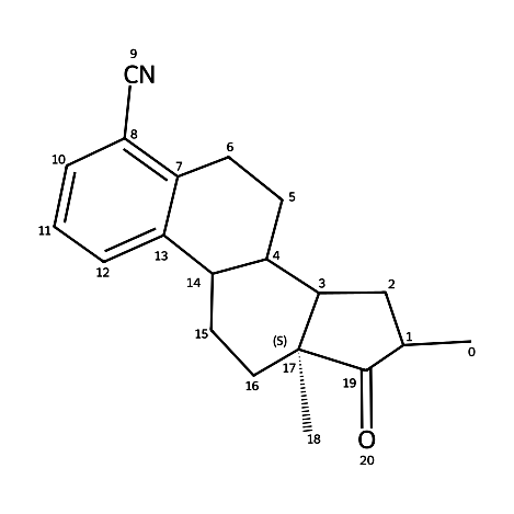 CC1CC2C3CCc4c(C#N)cccc4C3CC[C@]2(C)C1=O